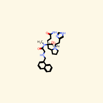 COC(=O)[C@](CCC(N)=O)(CC1CCCN1C(=O)Cc1c[nH]cn1)N(C)C(=O)CNCc1cccc2ccccc12